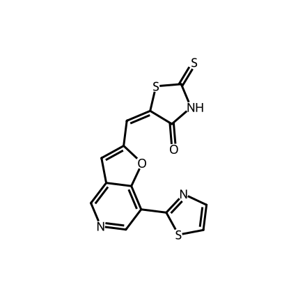 O=C1NC(=S)SC1=Cc1cc2cncc(-c3nccs3)c2o1